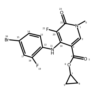 Cn1cc(C(=O)OC2CC2)c(Nc2ccc(Br)cc2F)c(F)c1=O